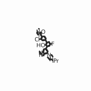 CC(C)N1CCN(c2cc(-c3cc(F)cc(-c4ccc(-n5ccn(C)c5=O)c(Cl)c4)c3O)cc3c2cnn3C)CC1